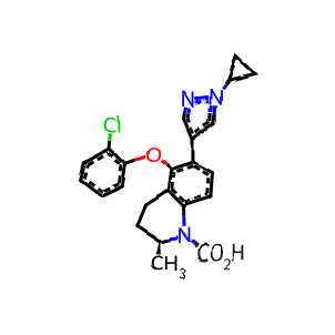 C[C@H]1CCc2c(ccc(-c3cnn(C4CC4)c3)c2Oc2ccccc2Cl)N1C(=O)O